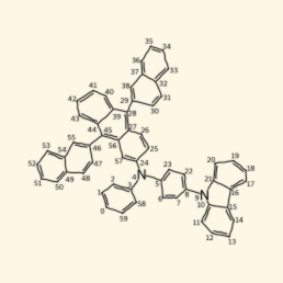 c1ccc(N(c2ccc(-n3c4ccccc4c4ccccc43)cc2)c2ccc3c(-c4ccc5ccccc5c4)c4ccccc4c(-c4ccc5ccccc5c4)c3c2)cc1